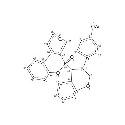 CC(=O)Oc1ccc(N2COc3ccccc3C2P2(=O)Oc3ccccc3-c3ccccc32)cc1